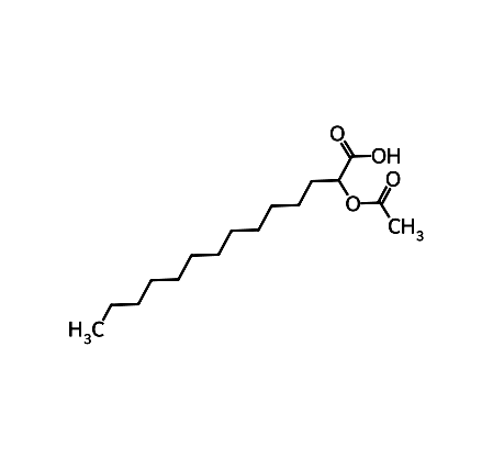 CCCCCCCCCCCCC(OC(C)=O)C(=O)O